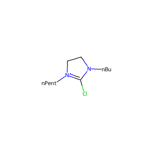 CCCCC[N+]1=C(Cl)N(CCCC)CC1